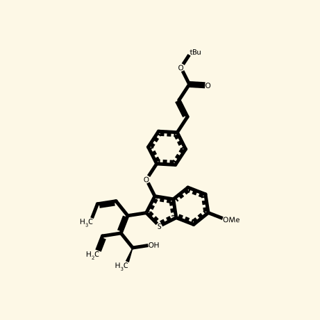 C=C/C(=C(\C=C/C)c1sc2cc(OC)ccc2c1Oc1ccc(/C=C/C(=O)OC(C)(C)C)cc1)[C@H](C)O